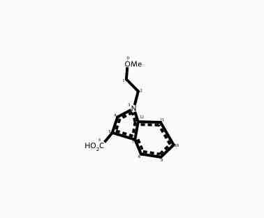 COCCn1cc(C(=O)O)c2ccccc21